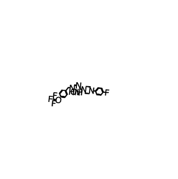 N=C(/N=C\N(O)Cc1ccc(OC(F)(F)F)cc1)N1CCN(c2ccc(F)cc2)CC1